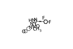 Cn1c(N2CCC3(CCOC3)CC2)nc2[nH]nc(C#Cc3ccc(F)cc3F)c2c1=O